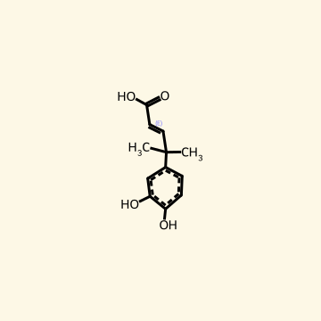 CC(C)(/C=C/C(=O)O)c1ccc(O)c(O)c1